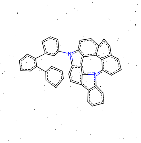 c1ccc(-c2ccccc2-c2cccc(-n3c4ccc5ccc6cccc7c6c5c4c4c3ccc3c5ccccc5n7c34)c2)cc1